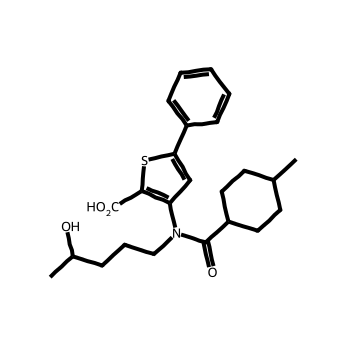 CC(O)CCCN(C(=O)C1CCC(C)CC1)c1cc(-c2ccccc2)sc1C(=O)O